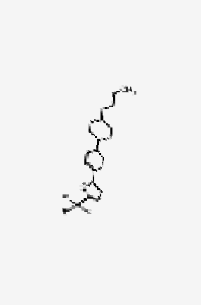 CCCCC1CCC(C2CC=C(c3ccc(C(F)(F)F)s3)CC2)CC1